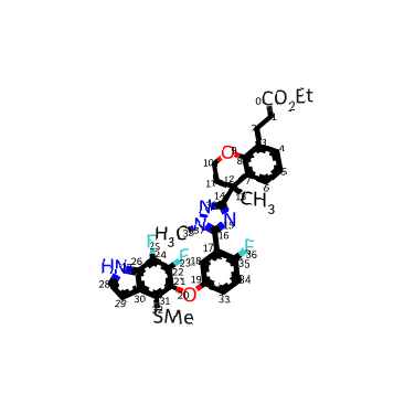 CCOC(=O)CCc1cccc2c1OCCC2(C)c1nc(-c2cc(Oc3c(F)c(F)c4[nH]ccc4c3SC)ccc2F)n(C)n1